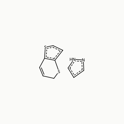 C1=Cc2sccc2SC1.c1cn[nH]c1